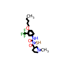 CCCCCOc1ccc(NC(=O)N(S)C(=O)C2CCCN(C)C2)cc1C(F)(F)F